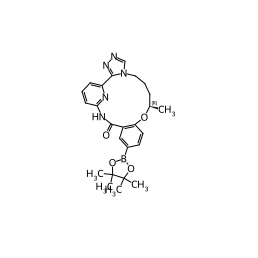 C[C@@H]1CCCn2cnnc2-c2cccc(n2)NC(=O)c2cc(B3OC(C)(C)C(C)(C)O3)ccc2O1